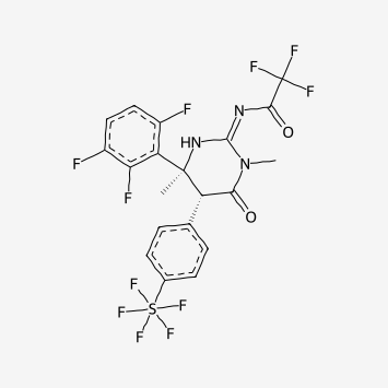 CN1C(=O)[C@H](c2ccc(S(F)(F)(F)(F)F)cc2)[C@@](C)(c2c(F)ccc(F)c2F)N/C1=N/C(=O)C(F)(F)F